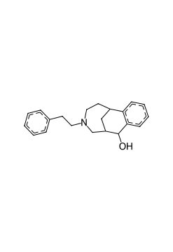 OC1c2ccccc2C2CCN(CCc3ccccc3)CC1C2